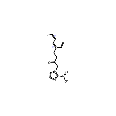 C=C/C(=C\C=C/C)CCC(=O)Cn1ccnc1[N+](=O)[O-]